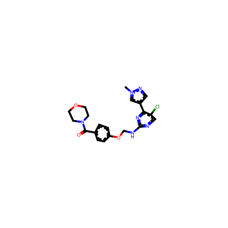 Cn1cc(-c2nc(NCOc3ccc(C(=O)N4CCOCC4)cc3)ncc2Cl)cn1